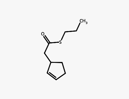 CCCSC(=O)CC1C=CCC1